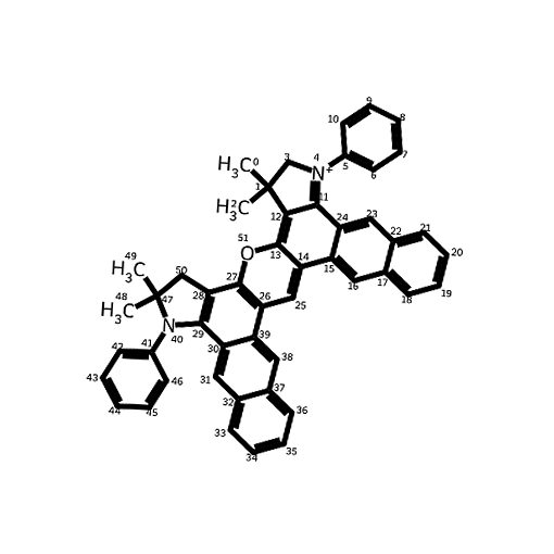 CC1(C)C[N+](c2ccccc2)=c2c1c1c(c3cc4ccccc4cc23)=Cc2c(c3c(c4cc5ccccc5cc24)N(c2ccccc2)C(C)(C)C3)O1